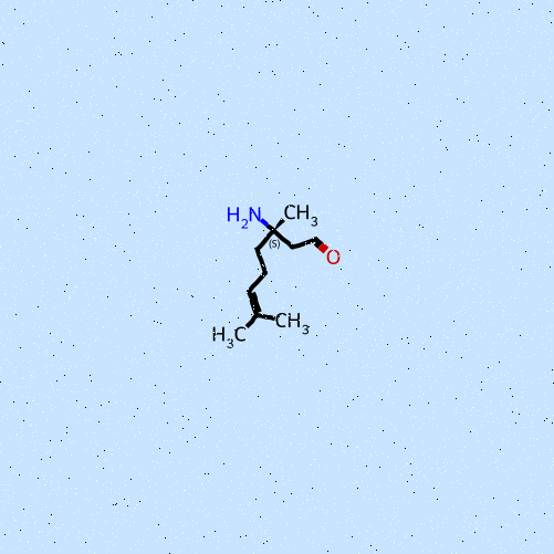 CC(C)=CCC[C@](C)(N)CC=O